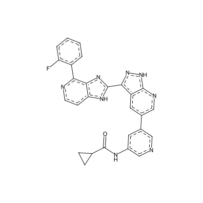 O=C(Nc1cncc(-c2cnc3[nH]nc(-c4nc5c(-c6ccccc6F)nccc5[nH]4)c3c2)c1)C1CC1